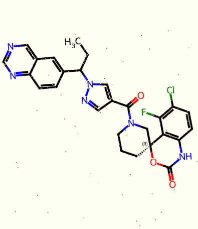 CCC(c1ccc2ncncc2c1)n1cc(C(=O)N2CCC[C@@]3(C2)OC(=O)Nc2ccc(Cl)c(F)c23)cn1